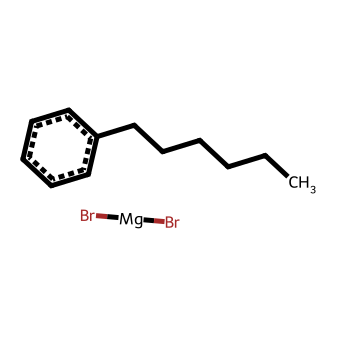 CCCCCCc1ccccc1.[Br][Mg][Br]